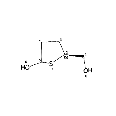 OC[C@@H]1CCC(O)S1